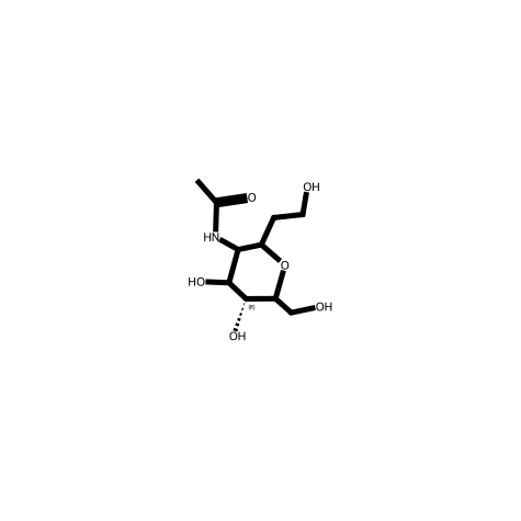 CC(=O)NC1C(CCO)OC(CO)[C@H](O)C1O